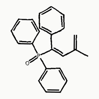 C=C(C)/C=C(\c1ccccc1)P(=O)(c1ccccc1)c1ccccc1